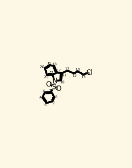 O=S(=O)(c1ccccc1)n1cc(CCCCCl)c2c[c]ccc21